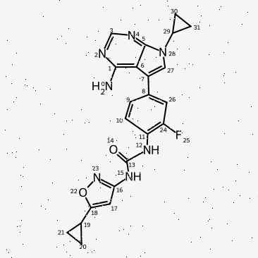 Nc1ncnc2c1c(-c1ccc(NC(=O)Nc3cc(C4CC4)on3)c(F)c1)cn2C1CC1